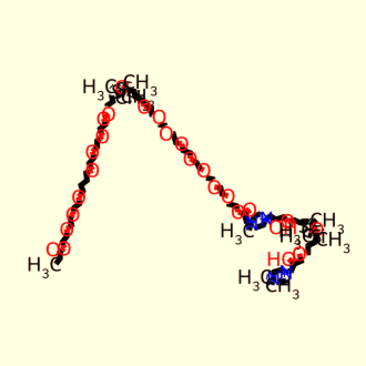 CCC(=O)OCCOCCOCCOCCCCOCCOCCOCCOOCCC[Si](C)(C)O[Si](C)(C)CCCOCCOCCOCCOCCOCCOCCOCCOCCOC(=O)C[N+]1(C)CCN(CC(O)COCCC[Si](C)(C)O[Si](C)(C)CCCOCC(O)CN2CC[N+](C)(C)CC2)CC1